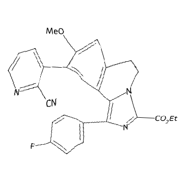 CCOC(=O)c1nc(-c2ccc(F)cc2)c2n1CCc1cc(OC)c(-c3cccnc3C#N)cc1-2